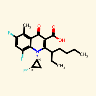 CCCCC(CC)c1c(C(=O)O)c(=O)c2c(C)c(F)cc(F)c2n1[C@@H]1C[C@@H]1F